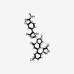 CNc1noc2cc(-c3[nH]c([C@@H]4[C@@H](C)Cc5cc(-c6cc(Cl)ccc6-n6cc(Cl)nn6)cc(=O)n54)nc3F)ccc12